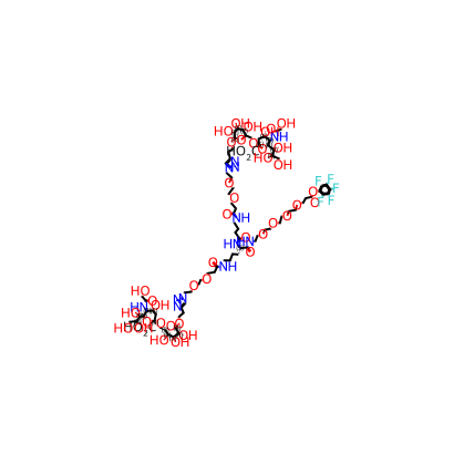 O=C(CCOCCOCCn1cc(CCO[C@@H]2O[C@H](CO[C@@]3(C(=O)O)C[C@H](O)[C@@H](NC(=O)CO)[C@H]([C@H](O)[C@H](O)CO)O3)[C@H](O)[C@H](O)[C@H]2O)nn1)NCCCC[C@H](NC(=O)CCCNC(=O)CCOCCOCCn1cc(CCO[C@@H]2OC(CO[C@@]3(C(=O)O)C[C@H](O)[C@@H](NC(=O)CO)[C@H]([C@H](O)[C@H](O)CO)O3)[C@H](O)[C@H](O)[C@H]2O)nn1)C(=O)NCCOCCOCCOCCOCCC(=O)Oc1c(F)c(F)c(F)c(F)c1F